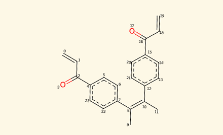 C=CC(=O)c1ccc(C(C)=C(C)c2ccc(C(=O)C=C)cc2)cc1